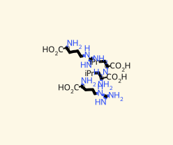 CC(C)C[C@H](N)C(=O)O.CC(C)C[C@H](N)C(=O)O.N=C(N)NCCC[C@H](N)C(=O)O.N=C(N)NCCC[C@H](N)C(=O)O